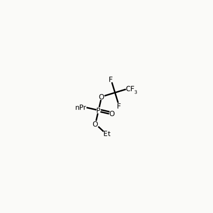 CCCP(=O)(OCC)OC(F)(F)C(F)(F)F